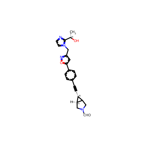 C[C@H](O)c1nccn1Cc1cc(-c2ccc(C#C[C@@H]3C4CN(C=O)C[C@H]43)cc2)on1